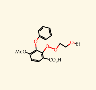 CCOCCOOc1c(C(=O)O)ccc(OC)c1Oc1ccccc1